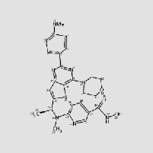 CNc1ccc(-c2nc(N3CCOCC3)c3sc([C@H](C)N(C)c4ncc(C(=O)NO)cn4)cc3n2)cn1